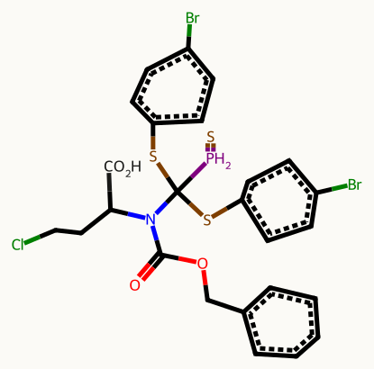 O=C(O)C(CCCl)N(C(=O)OCc1ccccc1)C([PH2]=S)(Sc1ccc(Br)cc1)Sc1ccc(Br)cc1